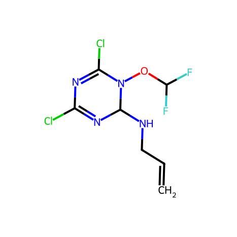 C=CCNC1N=C(Cl)N=C(Cl)N1OC(F)F